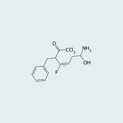 NC(O)C/C=C(/F)C(Cc1ccccc1)C(=O)C(Cl)(Cl)Cl